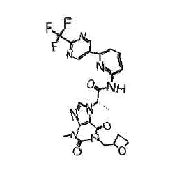 C[C@@H](C(=O)Nc1cccc(-c2cnc(C(F)(F)F)nc2)n1)n1cnc2c1c(=O)n(CC1CCO1)c(=O)n2C